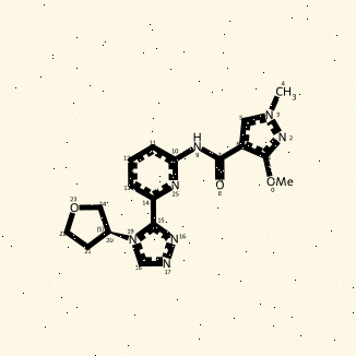 COc1nn(C)cc1C(=O)Nc1cccc(-c2nncn2[C@H]2CCOC2)n1